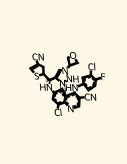 N#CC1=CSC([C@H](Nc2cc(Cl)c3ncc(C#N)c(Nc4ccc(F)c(Cl)c4)c3c2)C2=CN(C3COC3)NN2)C1